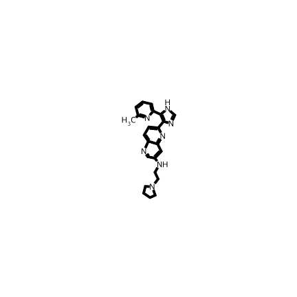 Cc1cccc(-c2[nH]cnc2-c2ccc3ncc(NCCN4CCCC4)cc3n2)n1